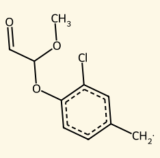 [CH2]c1ccc(OC(C=O)OC)c(Cl)c1